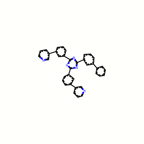 c1ccc(-c2cccc(-c3nc(-c4cccc(-c5cccnc5)c4)nc(-c4cccc(-c5cccnc5)c4)n3)c2)cc1